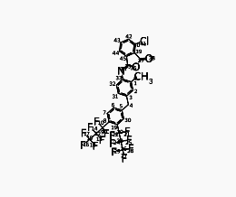 Cc1cc(Cc2ccc(C(F)(F)C(F)(F)C(F)(F)F)c(C(F)(F)C(F)(F)C(F)(F)F)c2)ccc1N=C1OC(=O)c2c(Cl)cccc21